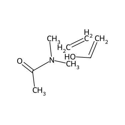 C=C.C=CO.CC(=O)N(C)C